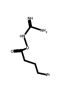 CC(C)CCCC(=O)ONC(=N)N